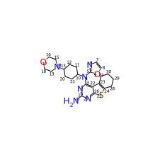 Nc1nc(N(c2ncco2)C2CCC(N3CCOCC3)CC2)c2c3c(sc2n1)CCCC3